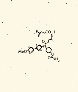 COc1ncc(-c2cnc(N(C(=O)CCC(F)F)[C@H]3CC[C@H](OC(N)=O)CC3)cn2)cn1.O=C(O)CCC(F)F